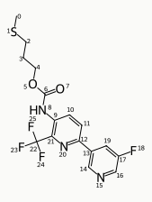 CSCCCOC(=O)Nc1ccc(-c2cncc(F)c2)nc1C(F)(F)F